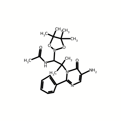 CC(=O)NC(B1OC(C)(C)C(C)(C)O1)C(C)(C)n1c(-c2ccccc2)ncc(N)c1=O